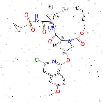 COc1ccc2c(O[C@@H]3C[C@H]4C(=O)N[C@]5(C(=O)NS(=O)(=O)C6CC6)C[C@H]5/C=C\CCCCOC(=O)N4C3)nc(Cl)cc2c1